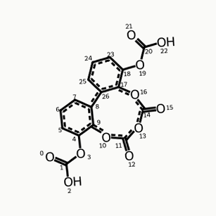 O=C(O)Oc1cccc2c1oc(=O)oc(=O)oc1c(OC(=O)O)cccc12